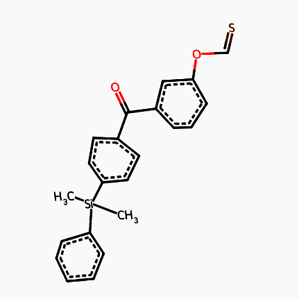 C[Si](C)(c1ccccc1)c1ccc(C(=O)c2cccc(OC=S)c2)cc1